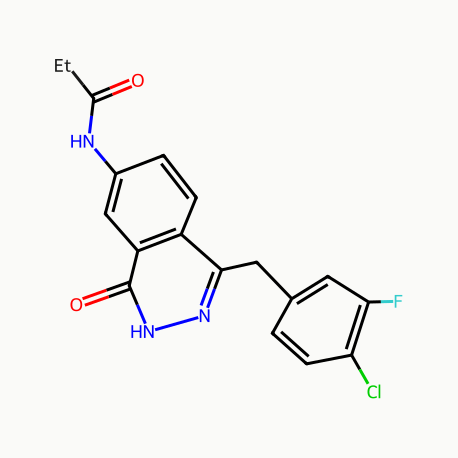 CCC(=O)Nc1ccc2c(Cc3ccc(Cl)c(F)c3)n[nH]c(=O)c2c1